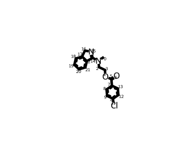 CN(CCOC(=O)c1ccc(Cl)cc1)C1=NCc2ccccc21